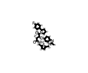 Cc1nc2ccccc2n1Cc1ccc(CNC(=O)[C@H](C)C(O)C(=O)N2CCCC2c2ccc(F)cc2)s1